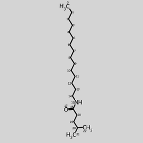 CCCCCCCCCCCCCCCNC(=O)CCC(C)C